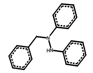 [CH](c1ccccc1)N(Nc1ccccc1)c1ccccc1